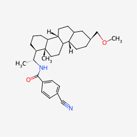 COC[C@H]1CC[C@H]2C(CC[C@@H]3C2CC[C@@]2(C)C3CCC[C@@H]2[C@@H](C)NC(=O)c2ccc(C#N)cc2)C1